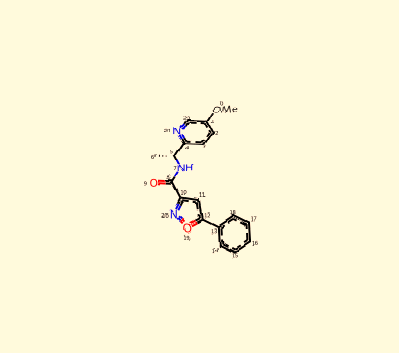 COc1ccc([C@@H](C)NC(=O)c2cc(-c3ccccc3)on2)nc1